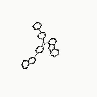 c1ccc(-c2ccc(N(c3ccc(-c4ccc5ccccc5c4)cc3)c3cccc4c3sc3ncccc34)cc2)cc1